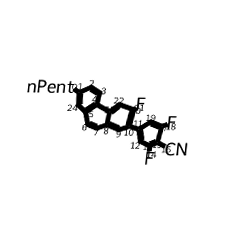 CCCCCc1ccc2c(ccc3cc(-c4cc(F)c(C#N)c(F)c4)c(F)cc32)c1